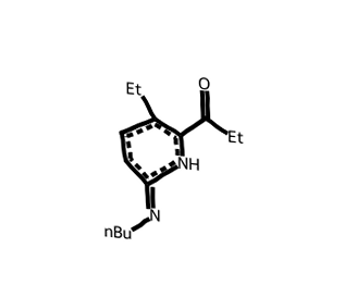 CCCCN=c1ccc(CC)c(C(=O)CC)[nH]1